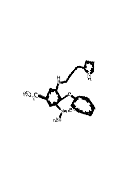 CCCCN(CCCC)c1cc(C(=O)O)cc(NCCc2ccc[nH]2)c1Oc1ccccc1